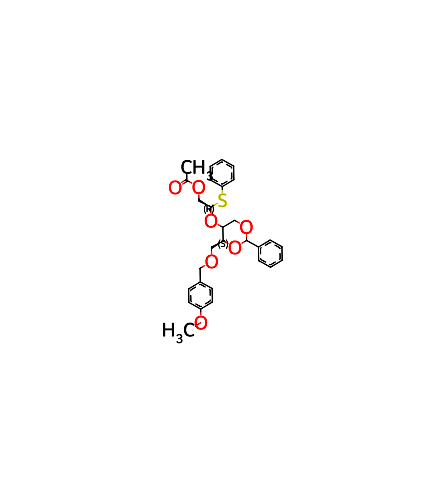 COc1ccc(COC[C@@H]2OC(c3ccccc3)OCC2O[C@@H](COC(C)=O)Sc2ccccc2)cc1